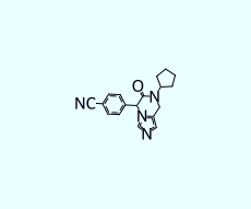 N#Cc1ccc(C2C(=O)N(C3CCCC3)Cc3cncn32)cc1